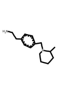 CC1CCCCN1Cc1ccc(CCN)cc1